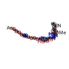 COc1cnc(-n2cnc(C(=O)NC3CC(N(CCCN4CCN(CCOCCOCCOCCOCc5cn(CCOCCOCCOCCOCCC(C)=O)nn5)CC4)C(=O)C4CC(O)C4)C3)n2)c2[nH]cc(C(=O)C(=O)N3CCC(=C(C#N)c4ccccc4)CC3)c12